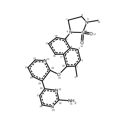 Cc1ccc2c(N3CCN(C)S3(=O)=O)cccc2c1Oc1ncccc1-c1ccnc(N)n1